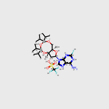 CC(C)[Si]1(C(C)C)OC[C@H]2O[C@@H](n3cnc4c(N)nc(F)nc43)[C@H](OS(=O)(=O)C(F)(F)F)[C@@H]2O[Si](C(C)C)(C(C)C)O1